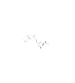 CCC1(CN(C)CCc2cc(F)cc(C(N)=O)c2)CCCCC1